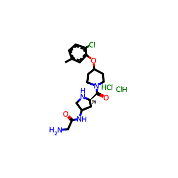 Cc1ccc(Cl)c(OC2CCN(C(=O)[C@H]3CC(NC(=O)CN)CN3)CC2)c1.Cl.Cl